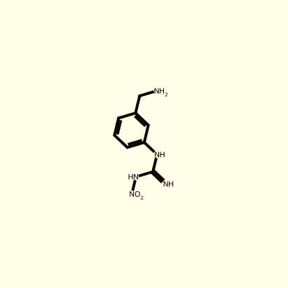 N=C(Nc1cccc(CN)c1)N[N+](=O)[O-]